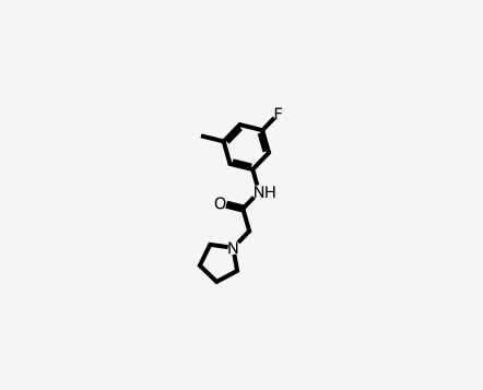 Cc1cc(F)cc(NC(=O)CN2CCCC2)c1